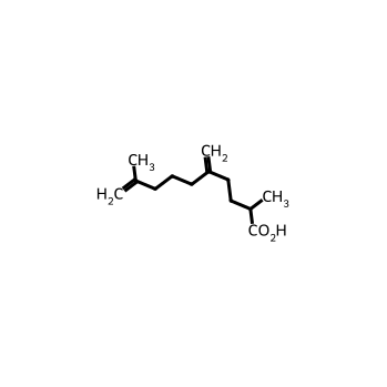 C=C(C)CCCC(=C)CCC(C)C(=O)O